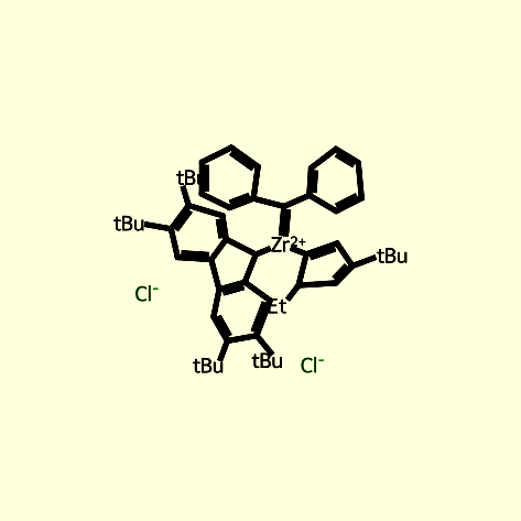 CCC1C=C(C(C)(C)C)C=[C]1[Zr+2](=[C](c1ccccc1)c1ccccc1)[CH]1c2cc(C(C)(C)C)c(C(C)(C)C)cc2-c2cc(C(C)(C)C)c(C(C)(C)C)cc21.[Cl-].[Cl-]